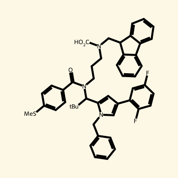 CSc1ccc(C(=O)N(CCCN(CC2c3ccccc3-c3ccccc32)C(=O)O)C(c2cc(-c3cc(F)ccc3F)cn2Cc2ccccc2)C(C)(C)C)cc1